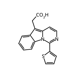 O=C(O)Cc1c2ccccc2n2c(-c3cccs3)nccc12